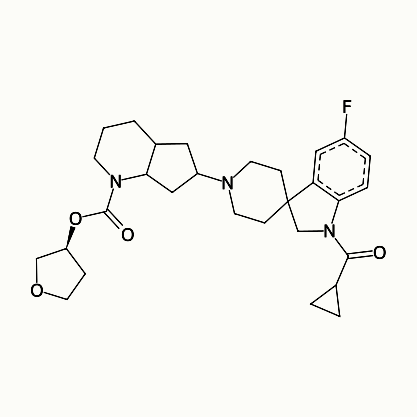 O=C(C1CC1)N1CC2(CCN(C3CC4CCCN(C(=O)O[C@H]5CCOC5)C4C3)CC2)c2cc(F)ccc21